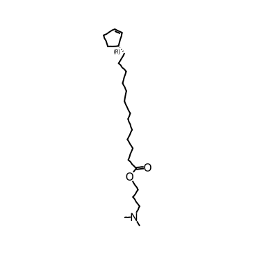 CN(C)CCCOC(=O)CCCCCCCCCCCC[C@H]1C=CCC1